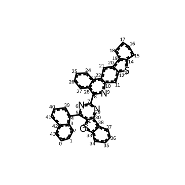 c1ccc2c(-c3nc(-c4nc5cc6sc7ccccc7c6cc5c5ccccc45)nc4c3oc3ccccc34)cccc2c1